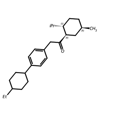 CCC1CCC(c2ccc(CC(=O)[C@@H]3C[C@H](C)CC[C@H]3C(C)C)cc2)CC1